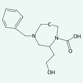 O=C(O)N1CCCN(Cc2ccccc2)CC1CCO